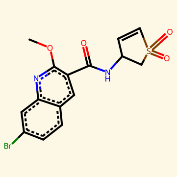 COc1nc2cc(Br)ccc2cc1C(=O)NC1C=CS(=O)(=O)C1